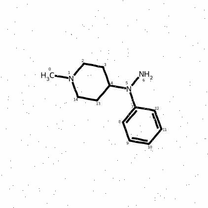 CN1CCC(N(N)c2ccccc2)CC1